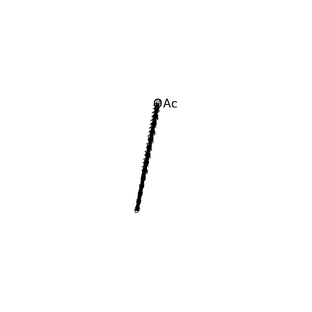 C#CC#CC#CC#CC#CC#CC#CC#CC#CC#CC#CC#CC#CC#COC(C)=O